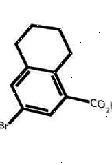 O=C(O)c1cc(Br)cc2c1CCCC2